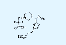 CCOC(=O)CCn1ccc(C(SC(C)=O)C2=CCCNC2)n1.O=C(O)C(F)(F)F